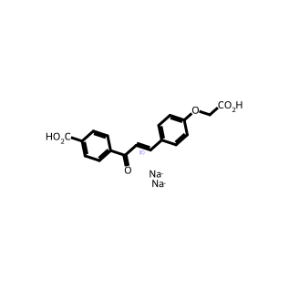 O=C(O)COc1ccc(/C=C/C(=O)c2ccc(C(=O)O)cc2)cc1.[Na].[Na]